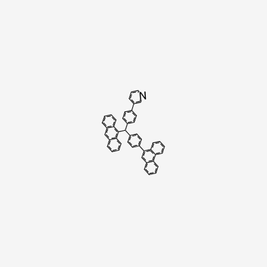 c1cncc(-c2ccc(C(c3ccc(-c4cc5ccccc5c5ccccc45)cc3)c3c4ccccc4cc4ccccc34)cc2)c1